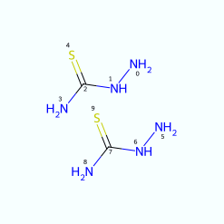 NNC(N)=S.NNC(N)=S